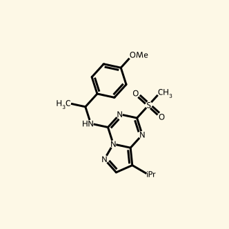 COc1ccc(C(C)Nc2nc(S(C)(=O)=O)nc3c(C(C)C)cnn23)cc1